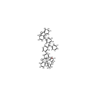 c1ccc(N(c2cccc(-c3ccc4c(c3)Oc3ccccc3C43c4ccccc4-c4ccccc43)c2)c2cccc(-c3cccc4oc5ccccc5c34)c2)cc1